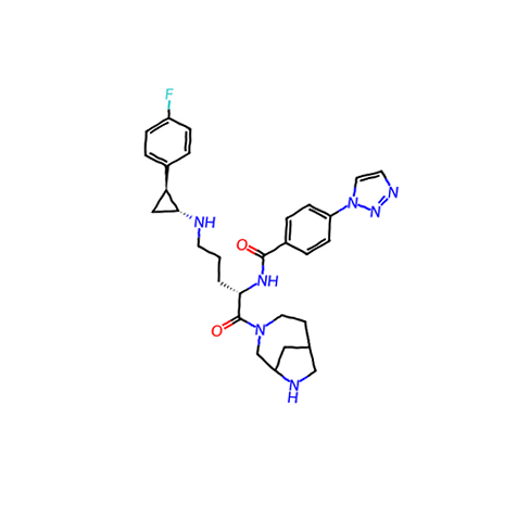 O=C(N[C@@H](CCCN[C@@H]1C[C@H]1c1ccc(F)cc1)C(=O)N1CCC2CNC(C2)C1)c1ccc(-n2ccnn2)cc1